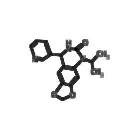 CC(C)N1C(=O)NC(c2cccnc2)c2cc3c(cc21)OCO3